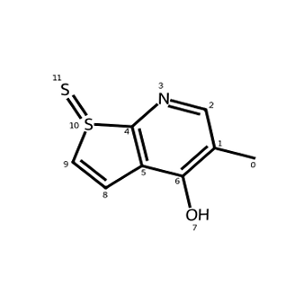 Cc1cnc2c(c1O)C=CS2=S